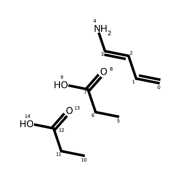 C=CC=CN.CCC(=O)O.CCC(=O)O